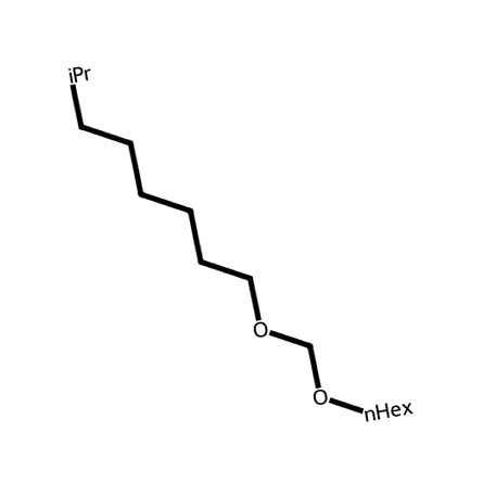 CCCCCCOCOCCCCCCC(C)C